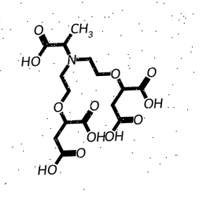 CC(C(=O)O)N(CCOC(CC(=O)O)C(=O)O)CCOC(CC(=O)O)C(=O)O